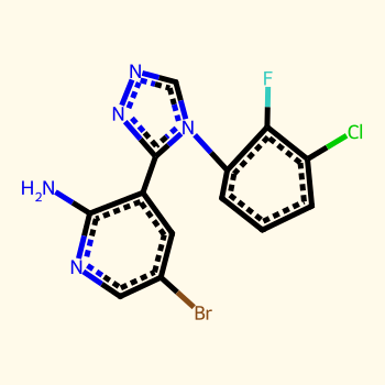 Nc1ncc(Br)cc1-c1nncn1-c1cccc(Cl)c1F